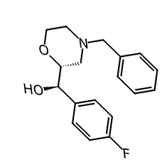 O[C@H](c1ccc(F)cc1)[C@H]1CN(Cc2ccccc2)CCO1